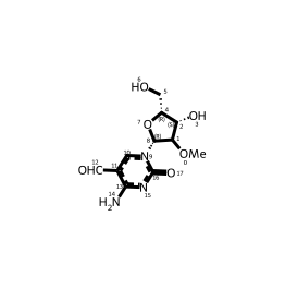 COC1[C@@H](O)[C@@H](CO)O[C@H]1n1cc(C=O)c(N)nc1=O